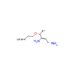 CCCCCCCCOC(CC)C(N)=CCN